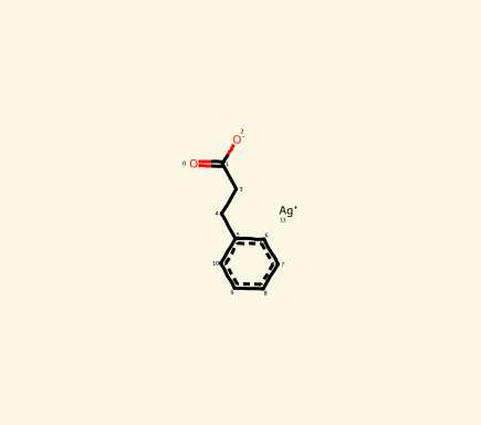 O=C([O-])CCc1ccccc1.[Ag+]